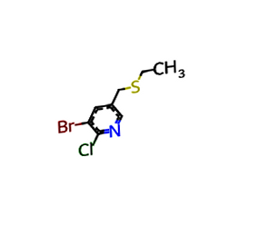 CCSCc1cnc(Cl)c(Br)c1